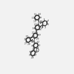 CC12CC=CC=C1N(c1ccccc1)c1ccc(-c3ccc4c(c3)c3ccccc3n4-c3ccc4oc5ccccc5c4c3)cc12